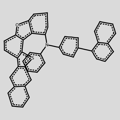 c1ccc(N(c2ccc(-c3cccc4ccccc34)cc2)c2cccc3oc4ccc5c6cc7ccccc7cc6sc5c4c23)cc1